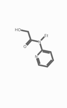 CCN(C(=O)CO)c1ccccn1